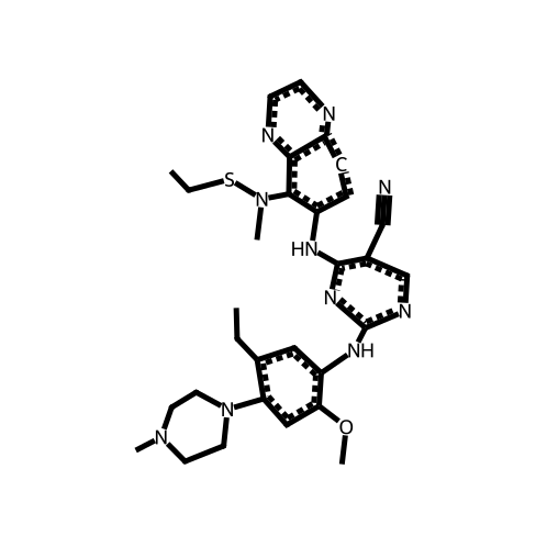 CCSN(C)c1c(Nc2nc(Nc3cc(CC)c(N4CCN(C)CC4)cc3OC)ncc2C#N)ccc2nccnc12